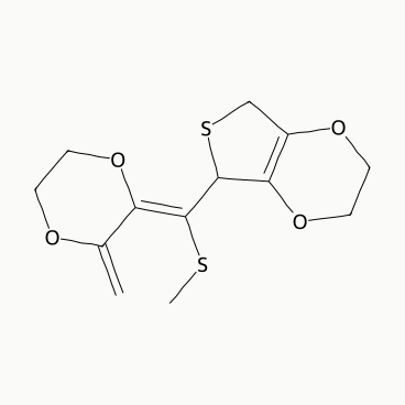 C=C1OCCO/C1=C(/SC)C1SCC2=C1OCCO2